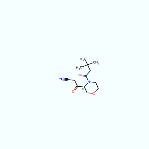 CC(C)(C)CC(=O)N1CCOC[C@H]1C(=O)CC#N